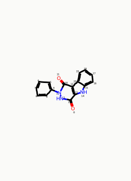 O=c1[nH]n(-c2ccccc2)c(=O)c2c1[nH]c1ccccc12